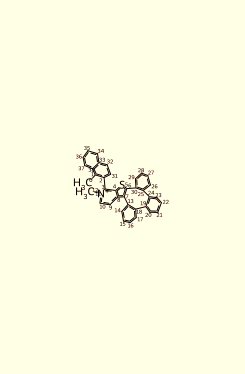 Cc1c(-c2c3sc4c(c3cc[n+]2C)-c2ccccc2-c2ccccc2-c2ccccc2-4)ccc2ccccc12